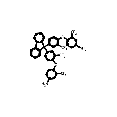 Nc1ccc(Oc2ccc(C3(c4ccc(Oc5ccc(N)cc5C(F)(F)F)c(C(F)(F)F)c4)c4ccccc4-c4ccccc43)cc2C(F)(F)F)c(C(F)(F)F)c1